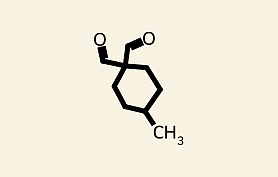 CC1CCC(C=O)(C=O)CC1